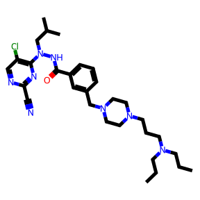 CCCN(CCC)CCCN1CCN(Cc2cccc(C(=O)NN(CC(C)C)c3nc(C#N)ncc3Cl)c2)CC1